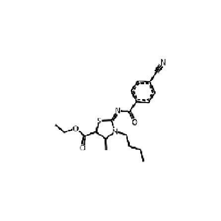 CCCCN1C(=NC(=O)c2ccc(C#N)cc2)SC(C(=O)OCC)C1C